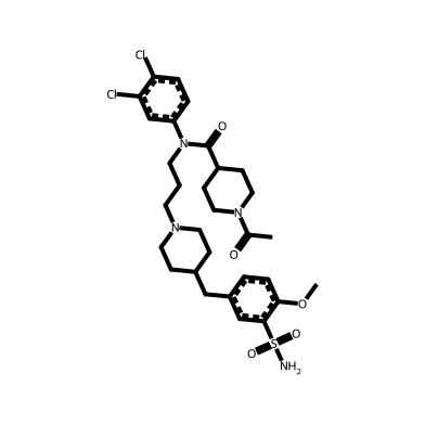 COc1ccc(CC2CCN(CCCN(C(=O)C3CCN(C(C)=O)CC3)c3ccc(Cl)c(Cl)c3)CC2)cc1S(N)(=O)=O